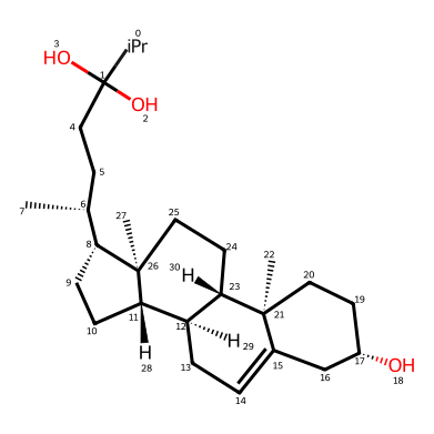 CC(C)C(O)(O)CC[C@@H](C)[C@H]1CC[C@H]2[C@@H]3CC=C4C[C@@H](O)CC[C@]4(C)[C@H]3CC[C@]12C